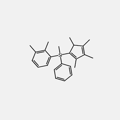 CC1=C(C)C(C)C([Si](C)(c2ccccc2)c2cccc(C)c2C)=C1C